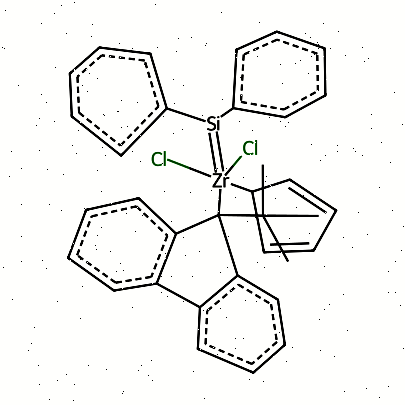 CC(C)(C)[C]1([Zr]([Cl])([Cl])([CH]2C=CC=C2)=[Si](c2ccccc2)c2ccccc2)c2ccccc2-c2ccccc21